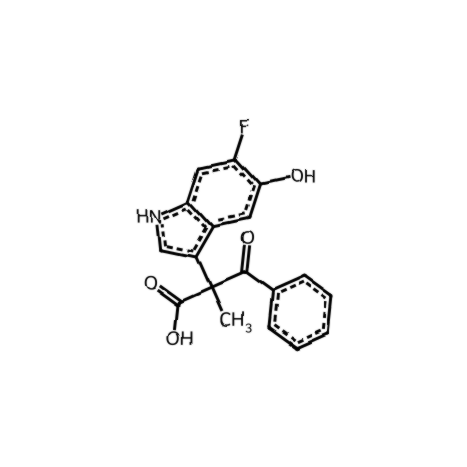 CC(C(=O)O)(C(=O)c1ccccc1)c1c[nH]c2cc(F)c(O)cc12